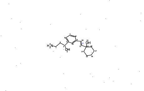 NCCC(O)c1cccc(/C=C/C2(O)CCCCC2)c1